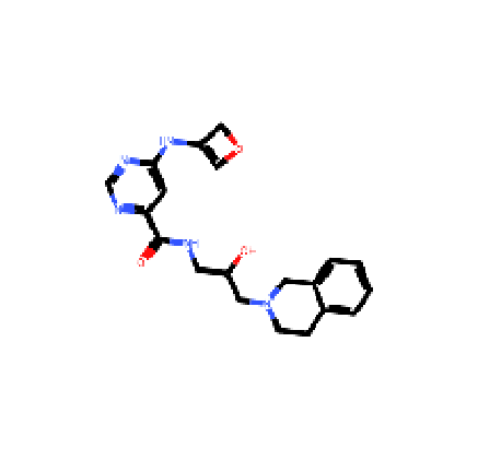 O=C(NCC(O)CN1CCc2ccccc2C1)c1cc(NC2=COC2)ncn1